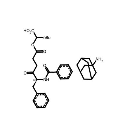 CCCCC(OC(=O)CCC(=O)[C@H](Cc1ccccc1)NC(=O)c1ccccc1)C(=O)O.NC12CC3CC(CC(C3)C1)C2